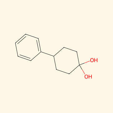 OC1(O)CCC(c2ccccc2)CC1